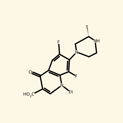 CCn1cc(C(=O)O)c(=O)c2cc(F)c(N3CCN[C@@H](C)C3)c(F)c21